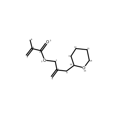 C=C(COC(=O)C(=C)C)CC1CCCCO1